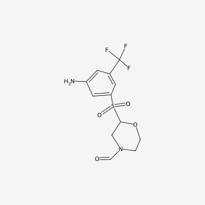 Nc1cc(C(F)(F)F)cc(S(=O)(=O)C2CN(C=O)CCO2)c1